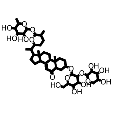 CC1CCC(C(C)C2CCC3C4=CC(=O)C5CC(OC6OC(CO)C(O)C(O)C6OC6OCC(O)C(O)C6O)CCC5(C)C4CCC32C)OC1OC1OC(C)C(O)C(O)C1O